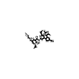 COCCNCc1cc(C(=O)Nc2cc(-c3ccc(C#N)cc3-c3[nH]c(C)nc3C)cc(C3CC3)n2)c(=O)n(C2CC2)c1